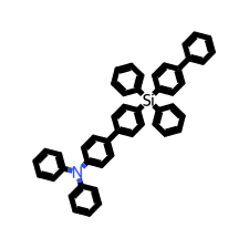 c1ccc(-c2ccc([Si](c3ccccc3)(c3ccccc3)c3ccc(-c4ccc(N(c5ccccc5)c5ccccc5)cc4)cc3)cc2)cc1